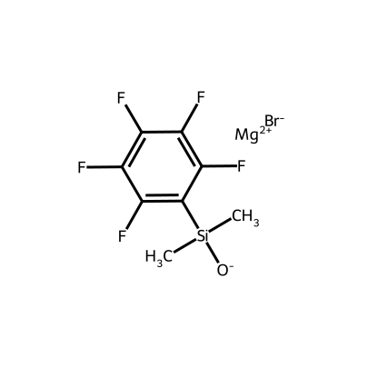 C[Si](C)([O-])c1c(F)c(F)c(F)c(F)c1F.[Br-].[Mg+2]